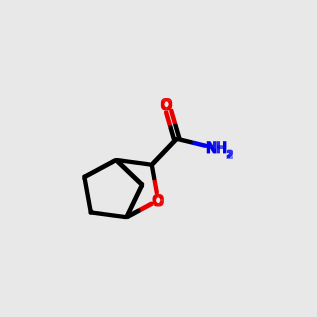 NC(=O)C1OC2CCC1C2